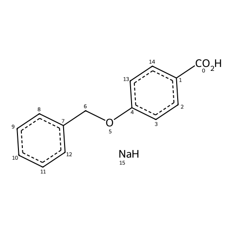 O=C(O)c1ccc(OCc2ccccc2)cc1.[NaH]